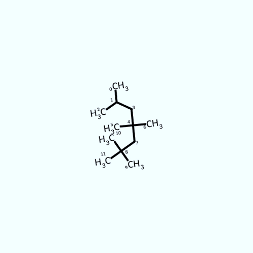 CC(C)CC(C)(C)CC(C)(C)C